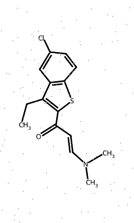 CCc1c(C(=O)C=CN(C)C)sc2ccc(Cl)cc12